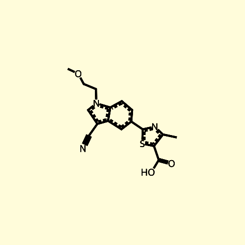 COCCn1cc(C#N)c2cc(-c3nc(C)c(C(=O)O)s3)ccc21